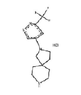 Cl.FC(F)(F)c1cc(N2CCC3(CCNCC3)C2)cnn1